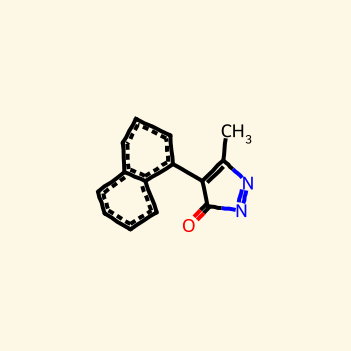 CC1=C(c2cccc3ccccc23)C(=O)N=N1